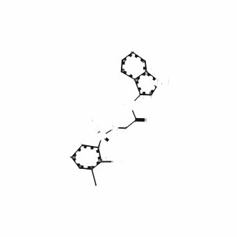 Cc1cccc(S(=O)(=O)N[C@@H](C)C(=O)Oc2c[nH]c3ccccc23)c1O